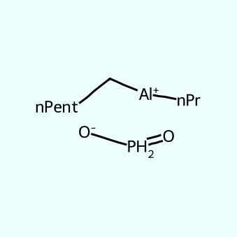 CCCCC[CH2][Al+][CH2]CC.O=[PH2][O-]